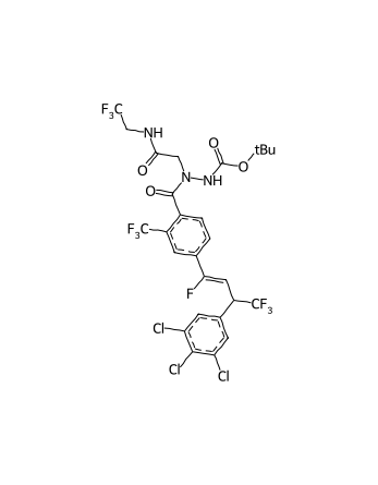 CC(C)(C)OC(=O)NN(CC(=O)NCC(F)(F)F)C(=O)c1ccc(/C(F)=C/C(c2cc(Cl)c(Cl)c(Cl)c2)C(F)(F)F)cc1C(F)(F)F